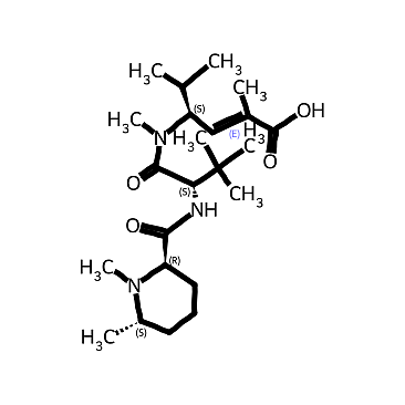 C/C(=C\[C@H](C(C)C)N(C)C(=O)[C@@H](NC(=O)[C@H]1CCC[C@H](C)N1C)C(C)(C)C)C(=O)O